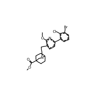 COC(=O)C12CCC(CC1)N(Cc1ccc(-c3cccc(Br)c3Cl)nc1OC)C2